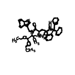 CCOC(OCC)C(C)N(Cc1csc2ccccc12)C(=O)C(N)CC(=O)NC(c1ccccc1)(c1ccccc1)c1ccccc1